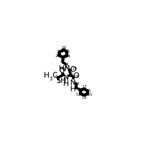 C[C@H](S)C(=O)NC(C(=O)NCCc1ccccc1)C(=O)NCCc1ccccc1